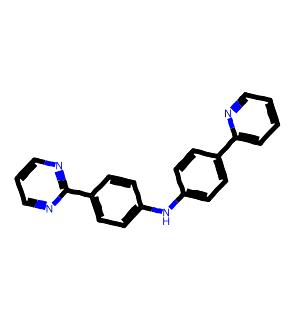 c1ccc(-c2ccc(Nc3ccc(-c4ncccn4)cc3)cc2)nc1